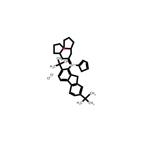 CC(C)(C)c1ccc2c(c1)Cc1c-2ccc(C(C)(C)C)[c]1[Zr+2]([C]1=CC=CC1)=[C](CC1CCCC1)CC1CCCC1.[Cl-].[Cl-]